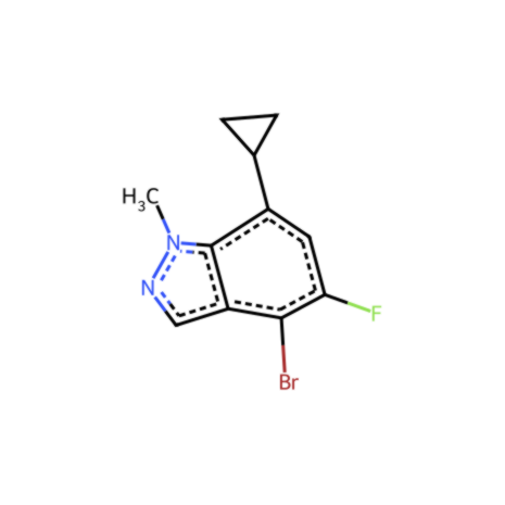 Cn1ncc2c(Br)c(F)cc(C3CC3)c21